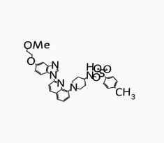 COCCOc1ccc2c(c1)ncn2-c1ccc2cccc(N3CCC(NOS(=O)(=O)c4ccc(C)cc4)CC3)c2n1